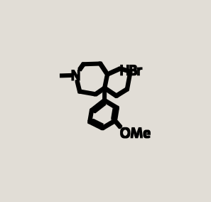 Br.COc1cccc(C23CCCCC2CCN(C)CC3)c1